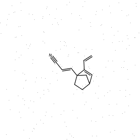 C=CC1=CC2CCC1(C=CC#N)C2